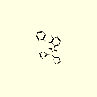 O=S(=O)(c1cccc(C(F)(F)F)c1Oc1ccccc1)N(c1ccn[nH]1)c1nccs1